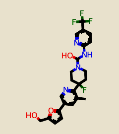 Cc1cc(-c2ccc(CO)o2)cnc1C1(F)CCN(C(O)Nc2ccc(C(F)(F)F)cn2)CC1